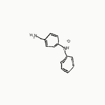 Nc1ccc(Nc2ccccc2)cc1.[O]